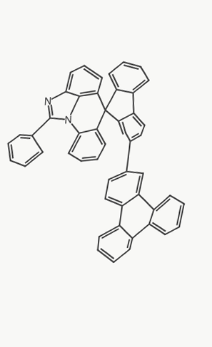 c1ccc(-c2nc3cccc4c3n2-c2ccccc2C42c3ccccc3-c3ccc(-c4ccc5c6ccccc6c6ccccc6c5c4)cc32)cc1